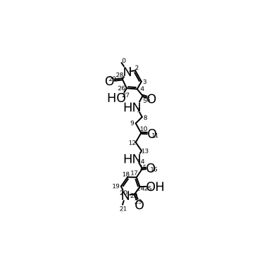 Cn1ccc(C(=O)NCCC(=O)CCNC(=O)c2ccn(C)c(=O)c2O)c(O)c1=O